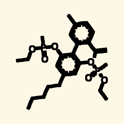 C=C(C)c1ccc(C)cc1-c1c(OP(C)(=O)OCC)cc(CCCCC)cc1OP(C)(=O)OCC